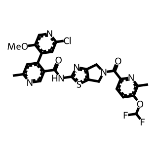 COc1cnc(Cl)cc1-c1cc(C)ncc1C(=O)Nc1nc2c(s1)CN(C(=O)c1ccc(OC(F)F)c(C)n1)C2